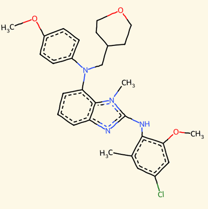 COc1ccc(N(CC2CCOCC2)c2cccc3nc(Nc4c(C)cc(Cl)cc4OC)n(C)c23)cc1